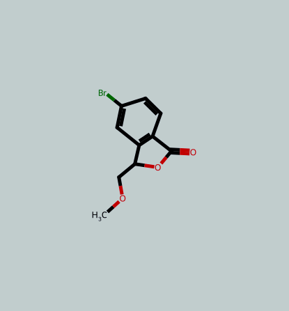 COCC1OC(=O)c2ccc(Br)cc21